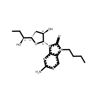 CCCCn1c(=O)n([C@@H]2O[C@H]([C@@H](O)CC)C[C@H]2O)c2nc(N)ncc21